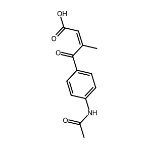 CC(=O)Nc1ccc(C(=O)/C(C)=C\C(=O)O)cc1